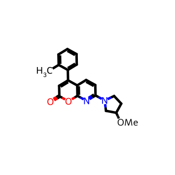 COC1CCN(c2ccc3c(-c4ccccc4C)cc(=O)oc3n2)C1